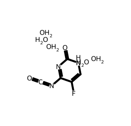 O.O.O.O.O.O=C=Nc1nc(=O)[nH]cc1F